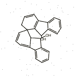 OC1C2=C(C=CCC23C=CC=C2c4ccccc4C(O)C23)c2ccccc21